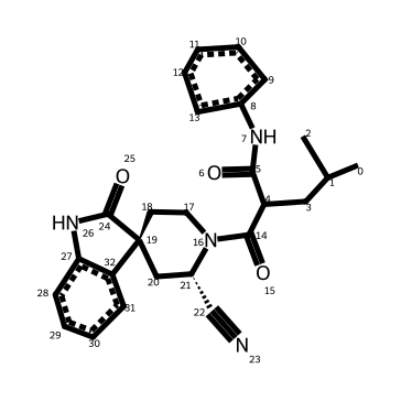 CC(C)CC(C(=O)Nc1ccccc1)C(=O)N1CC[C@]2(C[C@H]1C#N)C(=O)Nc1ccccc12